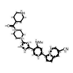 CNc1cc(-c2ccc3cc(C#N)cnn23)ncc1-c1nnc(N2CCN(C(=O)C3CCNCC3)CC2)s1